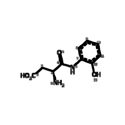 N[C@@H](CC(=O)O)C(=O)Nc1ccccc1O